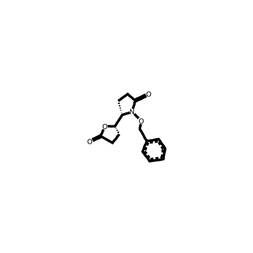 O=C1CC[C@@H]([C@@H]2CCC(=O)N2OCc2ccccc2)O1